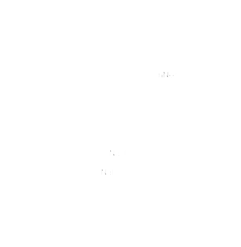 CCCCCCCCCCc1ccccc1-c1ccccc1.[NaH].[NaH]